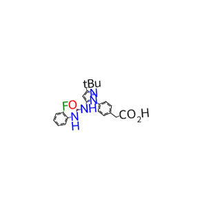 CC(C)(C)c1cc(NC(=O)Nc2ccccc2F)n(-c2ccc(CC(=O)O)cc2)n1